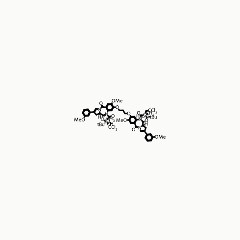 COc1cccc(C2=CN3C(=O)c4cc(OC)c(OCCCOc5cc6c(cc5OC)C(=O)N5C=C(c7cccc(OC)c7)C[C@H]5[C@H](O[Si](C)(C)C(C)(C)C)N6C(=O)OCC(Cl)(Cl)Cl)cc4N(C(=O)OCC(Cl)(Cl)Cl)[C@@H](O[Si](C)(C)C(C)(C)C)[C@@H]3C2)c1